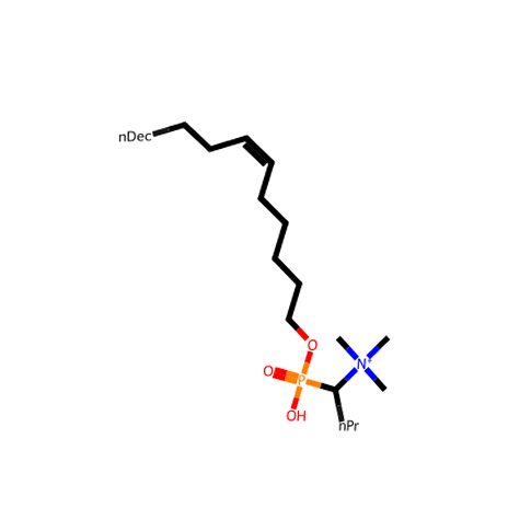 CCCCCCCCCCCC/C=C\CCCCCOP(=O)(O)C(CCC)[N+](C)(C)C